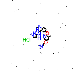 Cc1cc(OCCN(C)C)cnc1Oc1ccc2ncnc(Nc3ccn(C)n3)c2c1.Cl